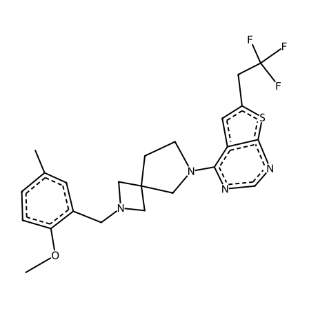 COc1ccc(C)cc1CN1CC2(CCN(c3ncnc4sc(CC(F)(F)F)cc34)C2)C1